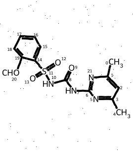 Cc1cc(C)nc(NC(=O)NS(=O)(=O)c2ccccc2C=O)n1